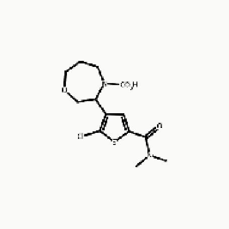 CN(C)C(=O)c1cc(C2COCCCN2C(=O)O)c(Cl)s1